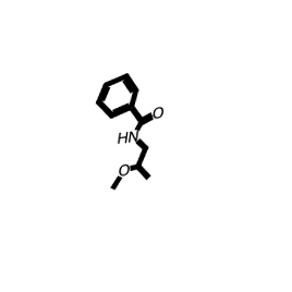 COC(C)CNC(=O)c1ccccc1